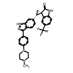 CN1CCN(c2ccc(-c3n[nH]c4cc([C@@H]5C[C@@]56C(=O)Nc5ccc(C(F)(F)F)cc56)ccc34)cc2)CC1